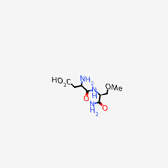 COC[C@H](NC(=O)C(N)CC(=O)O)C(N)=O